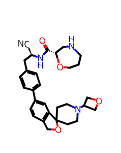 N#C[C@H](Cc1ccc(-c2ccc3c(c2)C2(CCN(C4COC4)CC2)OC3)cc1)NC(=O)[C@@H]1CNCCCO1